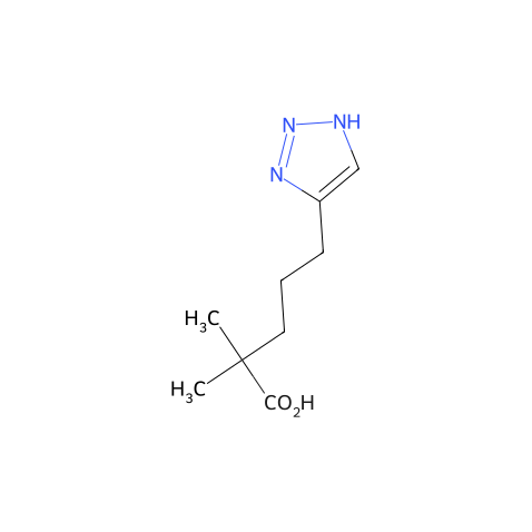 CC(C)(CCCc1c[nH]nn1)C(=O)O